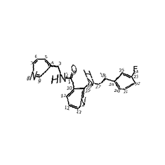 O=C(NCc1cccnc1)c1cccnc1NCCc1cccc(F)c1